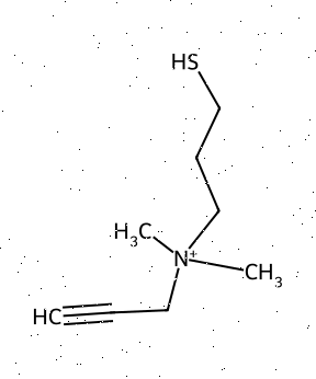 C#CC[N+](C)(C)CCCS